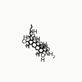 CCCNCC(=O)Nc1c(O)c2c(c(N(C)C)c1Cl)CC1CC3[C@H](N(C)C)C(O)=C(C(N)=O)C(=O)[C@@]3(O)C(O)=C1C2=O